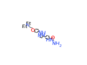 CCN(CC)CCCOc1ccc(Nc2nccc(-c3ccc(C(=O)NCN)cc3)n2)cc1